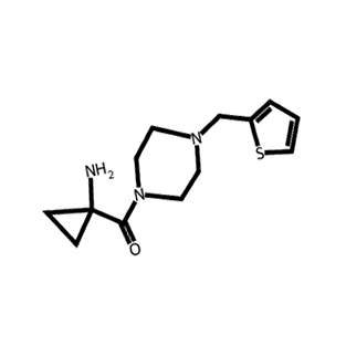 NC1(C(=O)N2CCN(Cc3cccs3)CC2)CC1